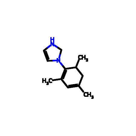 CC1=CC(C)=C(N2C=CNC2)C(C)C1